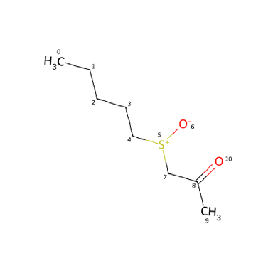 CCCCC[S+]([O-])CC(C)=O